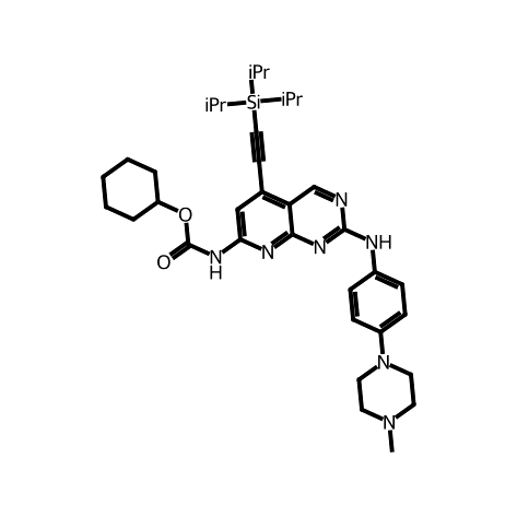 CC(C)[Si](C#Cc1cc(NC(=O)OC2CCCCC2)nc2nc(Nc3ccc(N4CCN(C)CC4)cc3)ncc12)(C(C)C)C(C)C